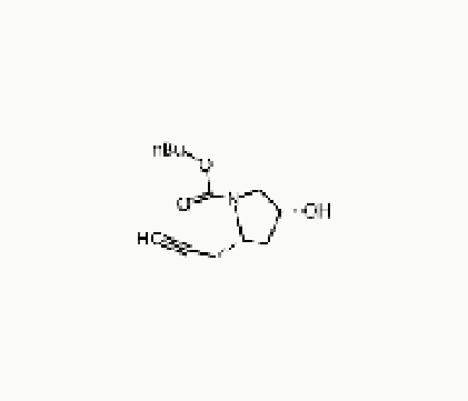 C#CC[C@H]1C[C@@H](O)CN1C(=O)OCCCC